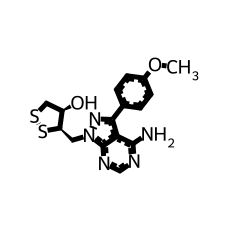 COc1ccc(-c2nn(C[C@H]3SSC[C@H]3O)c3ncnc(N)c23)cc1